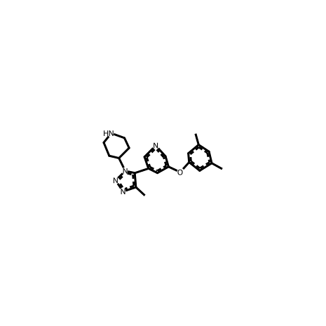 Cc1cc(C)cc(Oc2cncc(-c3c(C)nnn3C3CCNCC3)c2)c1